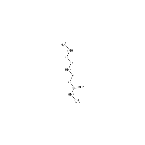 CNCCNCCC(=O)NC